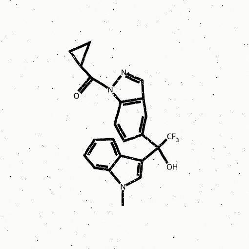 Cn1cc(C(O)(c2ccc3c(cnn3C(=O)C3CC3)c2)C(F)(F)F)c2ccccc21